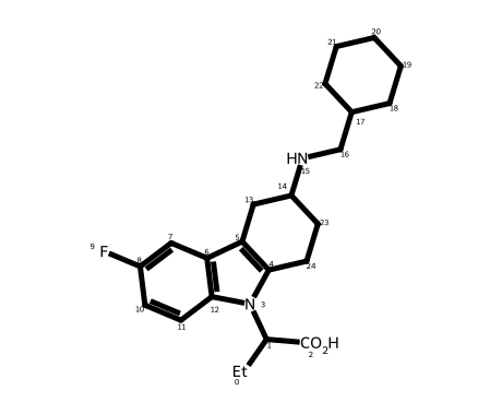 CCC(C(=O)O)n1c2c(c3cc(F)ccc31)CC(NCC1CCCCC1)CC2